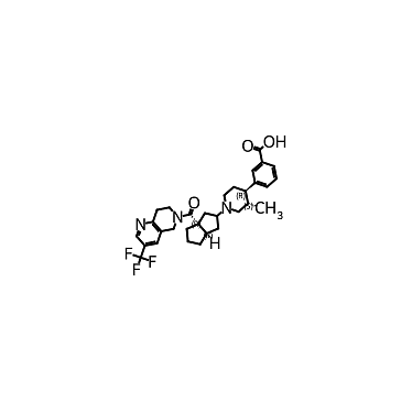 C[C@@H]1CN(C2C[C@H]3CCC[C@@]3(C(=O)N3CCc4ncc(C(F)(F)F)cc4C3)C2)CC[C@H]1c1cccc(C(=O)O)c1